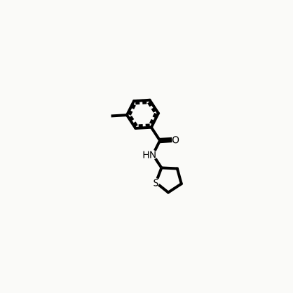 Cc1cccc(C(=O)NC2CCCS2)c1